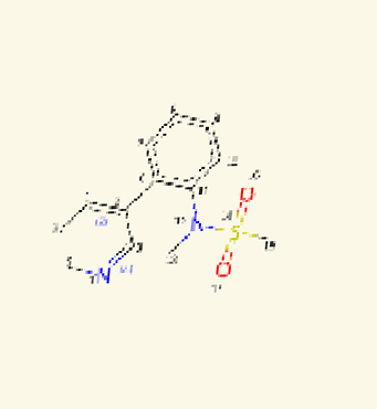 C/C=C(\C=N/C)c1ccccc1N(C)S(C)(=O)=O